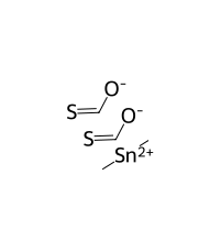 [CH3][Sn+2][CH3].[O-]C=S.[O-]C=S